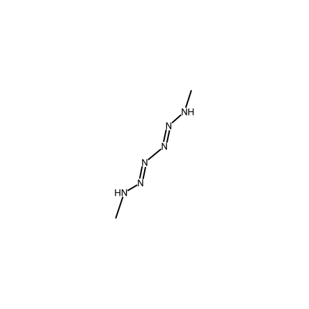 CNN=NN=NNC